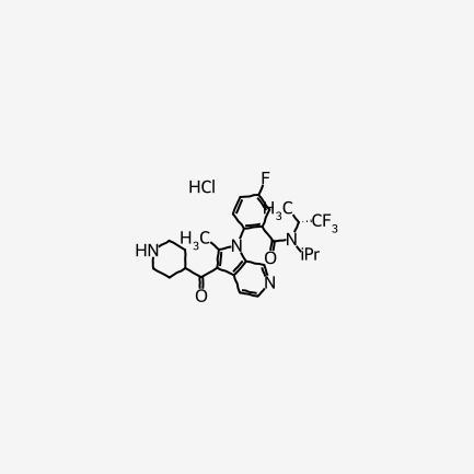 Cc1c(C(=O)C2CCNCC2)c2ccncc2n1-c1ccc(F)cc1C(=O)N(C(C)C)[C@H](C)C(F)(F)F.Cl